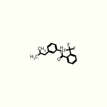 CC(C)Cc1cccc(NC(=O)c2ccccc2C(F)(F)F)c1